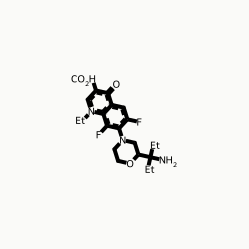 CCn1cc(C(=O)O)c(=O)c2cc(F)c(N3CCOC(C(N)(CC)CC)C3)c(F)c21